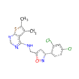 Cc1sc2ncnc(NCc3cc(-c4ccc(Cl)cc4Cl)no3)c2c1C